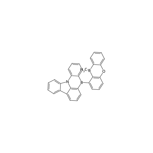 CB1c2ccccc2Oc2cccc(B3c4ccccc4-n4c5ccccc5c5cccc3c54)c21